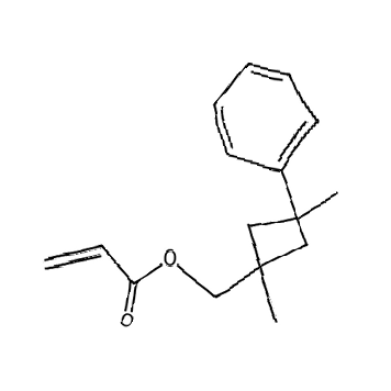 C=CC(=O)OCC1(C)CC(C)(c2ccccc2)C1